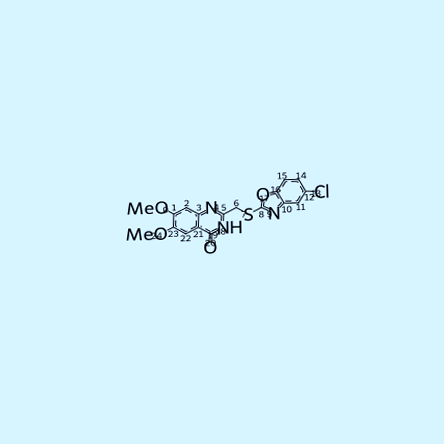 COc1cc2nc(CSc3nc4cc(Cl)ccc4o3)[nH]c(=O)c2cc1OC